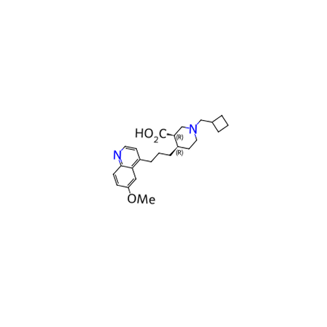 COc1ccc2nccc(CCC[C@@H]3CCN(CC4CCC4)C[C@@H]3C(=O)O)c2c1